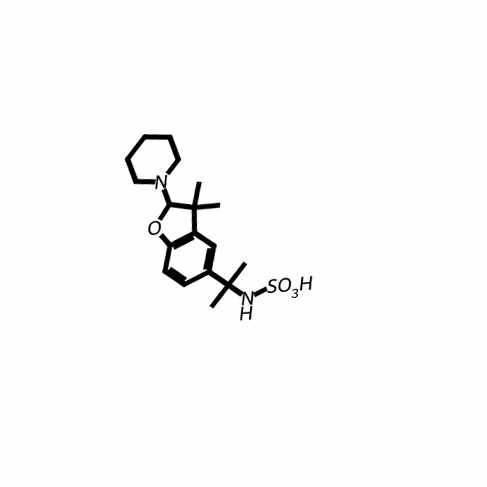 CC(C)(NS(=O)(=O)O)c1ccc2c(c1)C(C)(C)C(N1CCCCC1)O2